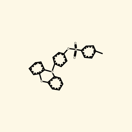 Cc1ccc(S(=O)(=O)Oc2ccc([S+]3c4ccccc4Oc4ccccc43)cc2)cc1